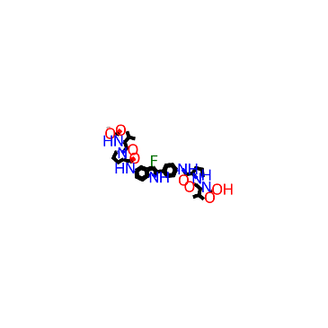 COC(=O)NC(C(=O)N1CCCC1C(=O)Nc1ccc2[nH]c(-c3ccc(NC(=O)C4CCCN4C(=O)[C@@H](NC(=O)O)C(C)C)cc3)c(F)c2c1)C(C)C